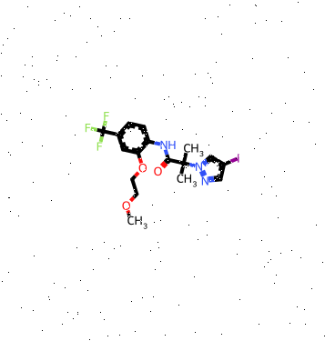 COCCOc1cc(C(F)(F)F)ccc1NC(=O)C(C)(C)n1cc(I)cn1